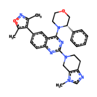 Cc1noc(C)c1-c1ccc2nc(N3CCc4ncn(C)c4C3)nc(N3CCOC[C@@H]3c3ccccc3)c2c1